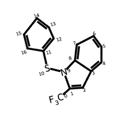 FC(F)(F)c1cc2ccccc2n1Sc1ccccc1